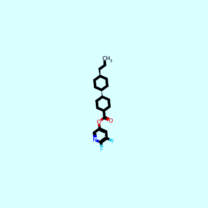 CCC[C@H]1CC[C@H](C2CCC(C(=O)Oc3cnc(F)c(F)c3)CC2)CC1